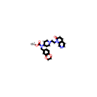 CC(C)(C)OC(=O)N(Cc1ccc2c(c1)OCCO2)C1CCN(CCn2c(=O)ccc3ccncc32)CC1